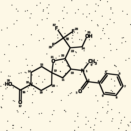 CN(C(=O)c1ccccc1)C1CC2(CCN(C(=O)O)CC2)OC1C(CO)C(F)(F)F